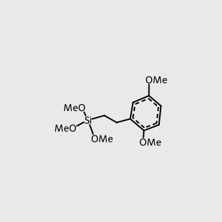 COc1ccc(OC)c(CC[Si](OC)(OC)OC)c1